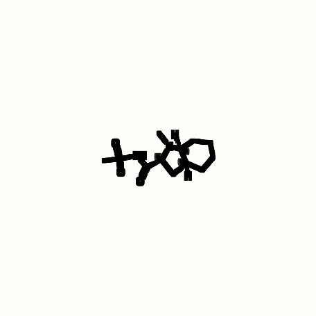 CN1[C@H](C(=O)NS(C)(=O)=O)C[C@@H]2CCCC[C@@H]21